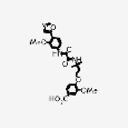 COc1cc(C(=O)O)ccc1OCCC(C)(C)NC(=O)C(=O)Nc1ccc(-c2cnco2)c(OC)c1